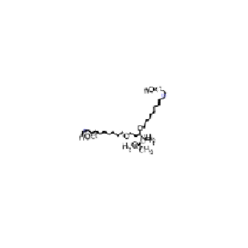 CCCCCCCC/C=C\CCCCCCCCOCCC(N)OCCCCCCCC/C=C\CCCCCCCC.CN(C)C